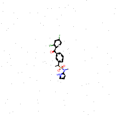 CC(c1cccc(C(=O)c2ccc(F)cc2F)c1)S(=O)(=O)N(C)c1ccc[nH]1